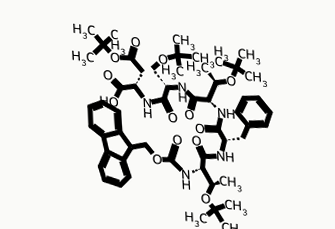 C[C@@H](OC(C)(C)C)[C@H](NC(=O)OCC1c2ccccc2-c2ccccc21)C(=O)N[C@@H](Cc1ccccc1)C(=O)N[C@H](C(=O)N[C@@H](COC(C)(C)C)C(=O)N[C@@H](CC(=O)OC(C)(C)C)C(=O)O)[C@@H](C)OC(C)(C)C